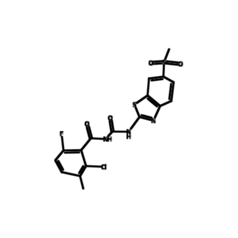 Cc1ccc(F)c(C(=O)NC(=O)Nc2nc3ccc(S(C)(=O)=O)cc3s2)c1Cl